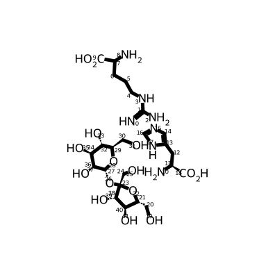 N=C(N)NCCCC(N)C(=O)O.N[C@@H](Cc1cnc[nH]1)C(=O)O.OC[C@H]1O[C@@](CO)(O[C@H]2O[C@H](CO)[C@@H](O)[C@H](O)[C@H]2O)[C@@H](O)[C@@H]1O